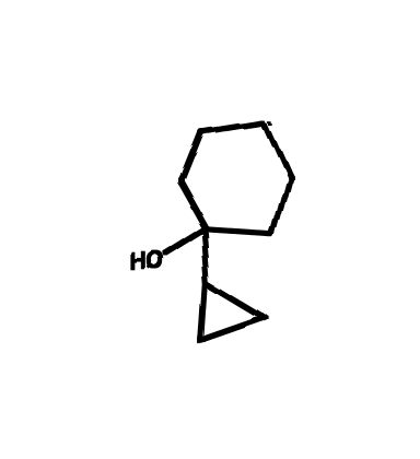 OC1(C2CC2)CC[CH]CC1